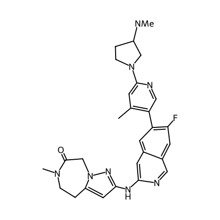 CNC1CCN(c2cc(C)c(-c3cc4cc(Nc5cc6n(n5)CC(=O)N(C)CC6)ncc4cc3F)cn2)C1